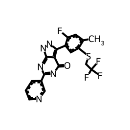 Cc1cc(F)c(C2=C3C(=O)N=C(c4cccnc4)N=C3N=N2)cc1SCC(F)(F)F